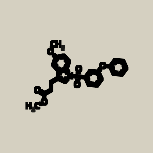 COC(=O)CCc1cn(S(=O)(=O)c2cccc(Oc3ccccc3)c2)c2ccc(OC)cc12